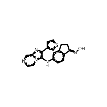 O/N=C1\CCc2cc(Nc3c(-c4ccsc4)nc4cnccn34)ccc21